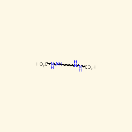 O=C(O)CCCNCCNCCCCCCCCCCCNCCNCCCC(=O)O